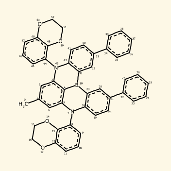 Cc1cc2c3c(c1)N(c1cccc4c1OCCO4)c1ccc(-c4ccccc4)cc1B3c1cc(-c3ccccc3)ccc1N2c1cccc2c1OCCO2